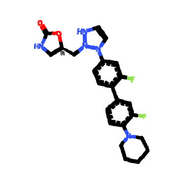 O=C1NC[C@H](CN2NC=CN2c2ccc(-c3ccc(N4CCCCC4)c(F)c3)c(F)c2)O1